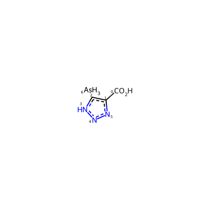 O=C(O)c1c[nH]nn1.[AsH3]